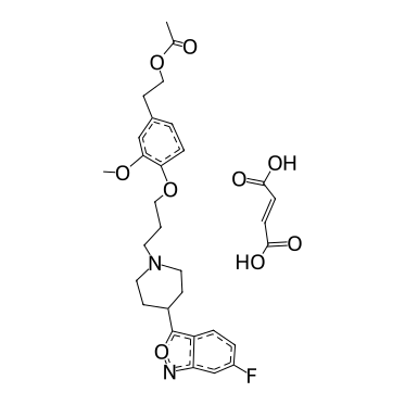 COc1cc(CCOC(C)=O)ccc1OCCCN1CCC(c2onc3cc(F)ccc23)CC1.O=C(O)/C=C/C(=O)O